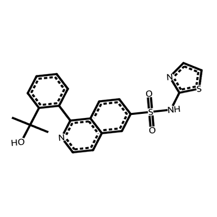 CC(C)(O)c1ccccc1-c1nccc2cc(S(=O)(=O)Nc3nccs3)ccc12